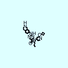 C=CCn1c(=O)c2cnc(Nc3ccc4c(c3)CNCC4)nc2n1-c1ccnc(OC2CCC2)c1